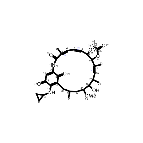 COC1/C=C\C=C(\C)C(=O)NC2=CC(=O)C(NC3CC3)=C(CC(C)CC(OC)C(O)C(C)/C=C(/C)C1OC(N)=O)C2=O